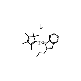 CCCC1=Cc2ccccc2[CH]1[Zr+2][C]1=C(C)C(C)=C(C)C1(C)C.[F-].[F-]